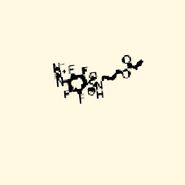 C=CC(=O)OCCCNS(=O)(=O)c1c(F)c(F)c(N=[N+]=[N-])c(F)c1F